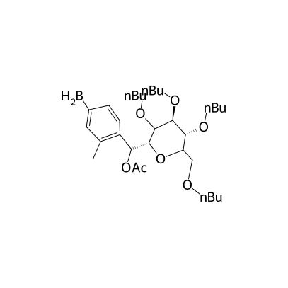 Bc1ccc(C(OC(C)=O)[C@H]2OC(COCCCC)[C@@H](OCCCC)[C@H](OCCCC)C2OCCCC)c(C)c1